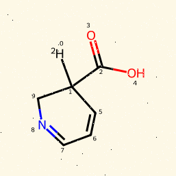 [2H]C1(C(=O)O)C=CC=NC1